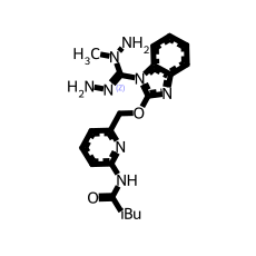 CCC(C)C(=O)Nc1cccc(COc2nc3ccccc3n2/C(=N/N)N(C)N)n1